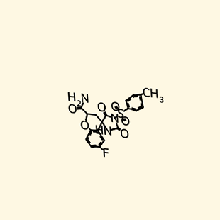 Cc1ccc(S(=O)(=O)N2C(=O)NC3(CC(C(N)=O)Oc4ccc(F)cc43)C2=O)cc1